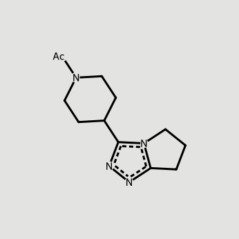 CC(=O)N1CCC(c2nnc3n2CCC3)CC1